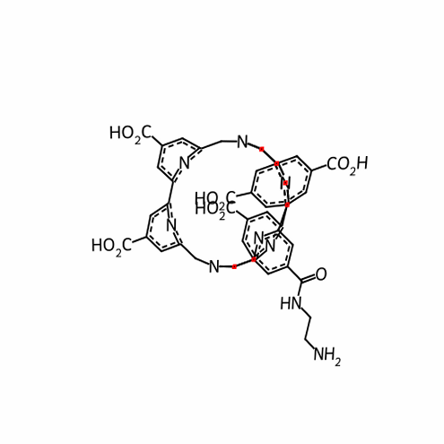 NCCNC(=O)c1cc2nc(c1)-c1cc(C(=O)O)cc(n1)CN1Cc3cc(C(=O)O)cc(n3)-c3cc(C(=O)O)cc(n3)CN(Cc3cc(C(=O)O)cc(n3)-c3cc(C(=O)O)cc(n3)C1)C2